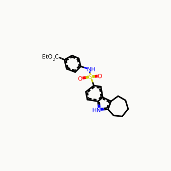 CCOC(=O)c1ccc(NS(=O)(=O)c2ccc3[nH]c4c(c3c2)CCCCC4)cc1